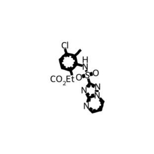 CCOC(=O)c1ccc(Cl)c(C)c1NS(=O)(=O)c1nc2ncccn2n1